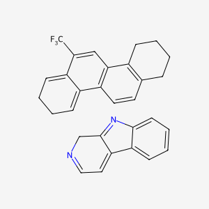 C1=NCC2=Nc3ccccc3C2=C1.FC(F)(F)c1cc2c3c(ccc2c2c1=CCCC=2)CCCC3